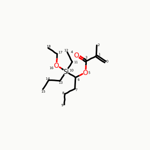 C=C(C)C(=O)OC(CCC)[Si](CC)(CCC)OCC